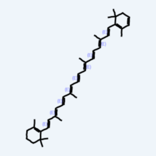 CC1=C(/C=C/C(C)=C/C=C/C(C)=C/C=C/C=C(C)/C=C/C=C(C)/C=C/C2=C(C)CCCC2(C)C)C(C)(C)CC=C1